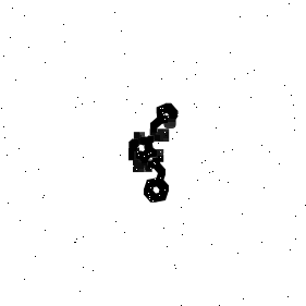 c1ccc(Cc2nc3c(NCc4ccco4)ncnc3[nH]2)cc1